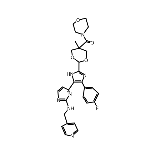 CC1(C(=O)N2CCOCC2)COC(c2nc(-c3ccc(F)cc3)c(-c3ccnc(NCc4ccncc4)n3)[nH]2)OC1